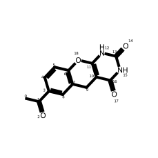 CC(=O)c1ccc2c(c1)Cc1c([nH]c(=O)[nH]c1=O)O2